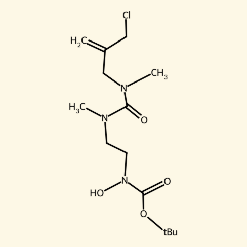 C=C(CCl)CN(C)C(=O)N(C)CCN(O)C(=O)OC(C)(C)C